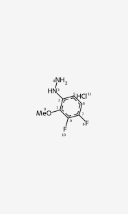 COc1c(NN)ccc(F)c1F.Cl